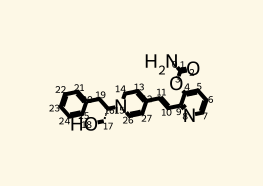 NC(=O)Oc1cccnc1C=CC1=CCN([C@H](CO)Cc2ccccc2)C=C1